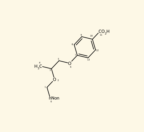 CCCCCCCCCCOC(C)COc1ccc(C(=O)O)cc1